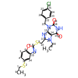 CCSc1ccc2oc(SCc3nc4c(c(=O)[nH]c(=O)n4Cc4ccc(Cl)cc4)n3CC)nc2c1